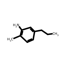 CCCc1ccc(C)c(N)c1